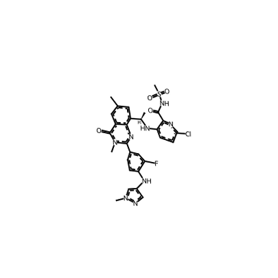 Cc1cc([C@@H](C)Nc2ccc(Cl)nc2C(=O)NS(C)(=O)=O)c2nc(-c3ccc(Nc4cnn(C)c4)c(F)c3)n(C)c(=O)c2c1